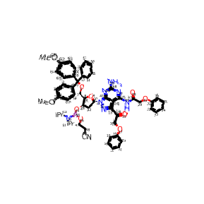 COc1ccc(C(OC[C@H]2O[C@H](n3nc(C(=O)COc4ccccc4)c4c(NC(=O)COc5ccccc5)nc(N)nc43)C[C@@H]2OP(OCCC#N)N(C(C)C)C(C)C)(c2ccccc2)c2ccc(OC)cc2)cc1